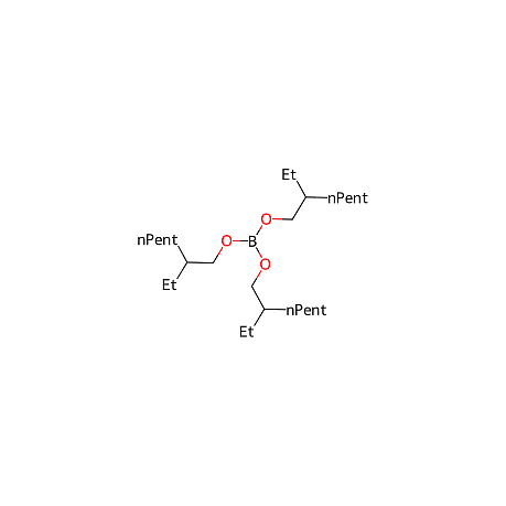 CCCCCC(CC)COB(OCC(CC)CCCCC)OCC(CC)CCCCC